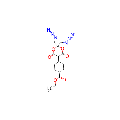 CCOC(=O)[C@H]1CC[C@@H](C2C(=O)OC(CN=[N+]=[N-])(CN=[N+]=[N-])OC2=O)CC1